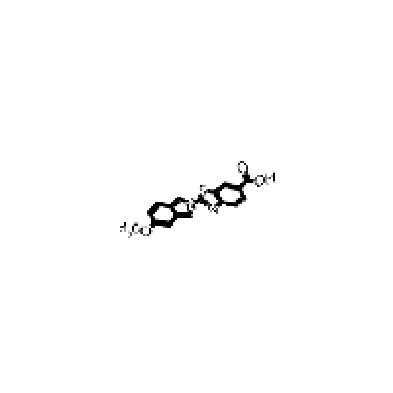 COc1ccc2cn(-c3nc4ccc(C(=O)O)cc4s3)cc2c1